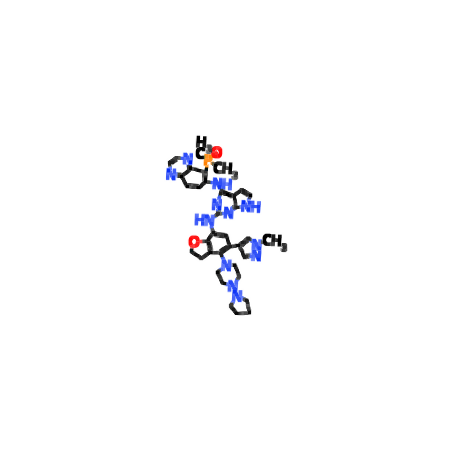 Cn1cc(-c2cc(Nc3nc(Nc4ccc5nccnc5c4P(C)(C)=O)c4cc[nH]c4n3)c3c(c2N2CCN(N4CCCC4)CC2)CCO3)cn1